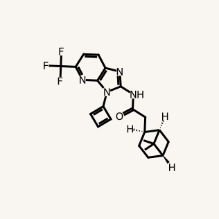 CC1(C)[C@H]2CC[C@@H](CC(=O)Nc3nc4ccc(C(F)(F)F)nc4n3C3=CC=C3)[C@H]1C2